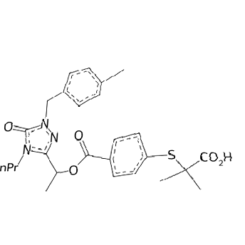 CCCn1c(C(C)OC(=O)c2ccc(SC(C)(C)C(=O)O)cc2)nn(Cc2ccc(C)cc2)c1=O